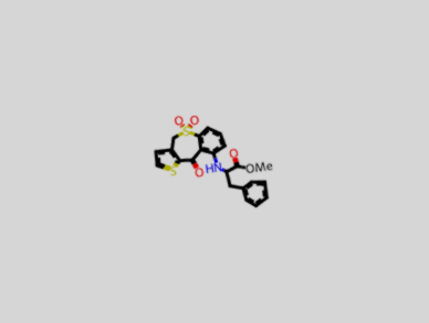 COC(=O)C(Cc1ccccc1)Nc1cccc2c1C(=O)c1sccc1CS2(=O)=O